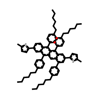 CCCCCCc1ccc(-c2cc(-c3ccc(C)s3)cc3c(-c4ccc(CCCCCC)cc4)c4c(-c5ccc(CCCCCC)cc5)c5ccc(-c6ccc(C)s6)cc5c(-c5ccc(CCCCCC)cc5)c4cc23)cc1